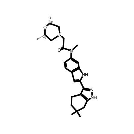 C[C@@H]1CN(CC(=O)N(C)c2ccc3cc(-c4n[nH]c5c4CCC(C)(C)C5)[nH]c3c2)C[C@H](C)O1